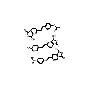 CC(=O)Oc1ccc(/C=C/c2ccc3c(c2)C(O)OC3=O)cc1.O=C1OC(O)c2cc(/C=C/c3ccc(Cl)cc3)ccc21.O=C1OC(O)c2cc(/C=C/c3ccc([N+](=O)[O-])cc3)ccc21